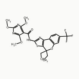 CCC1(CC)Oc2cc(C(F)(F)F)ccc2-c2nc(NC(=O)c3c(OC)nc(OC)nc3OC)sc21